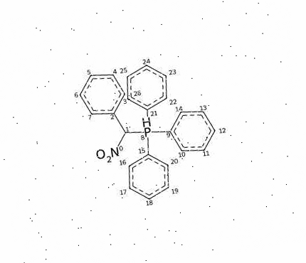 O=[N+]([O-])C(c1ccccc1)[PH](c1ccccc1)(c1ccccc1)c1ccccc1